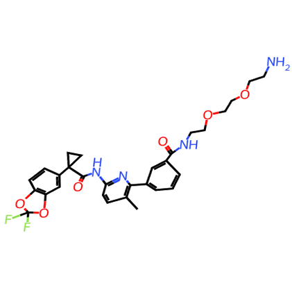 Cc1ccc(NC(=O)C2(c3ccc4c(c3)OC(F)(F)O4)CC2)nc1-c1cccc(C(=O)NCCOCCOCCN)c1